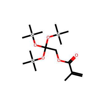 C=C(C)C(=O)OCC(O[Si](C)(C)C)(O[Si](C)(C)C)O[Si](C)(C)C